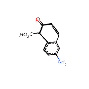 Nc1ccc2c(c1)C=CC(=O)C2C(=O)O